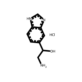 Cl.NCC(O)c1ccc2[nH]cnc2c1